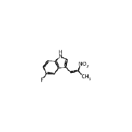 C/C(=C/c1c[nH]c2ccc(F)cc12)[N+](=O)[O-]